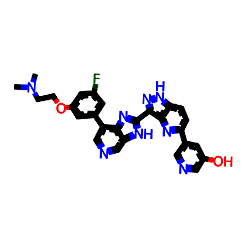 CN(C)CCOc1cc(F)cc(-c2cncc3[nH]c(-c4n[nH]c5ccc(-c6cncc(O)c6)nc45)nc23)c1